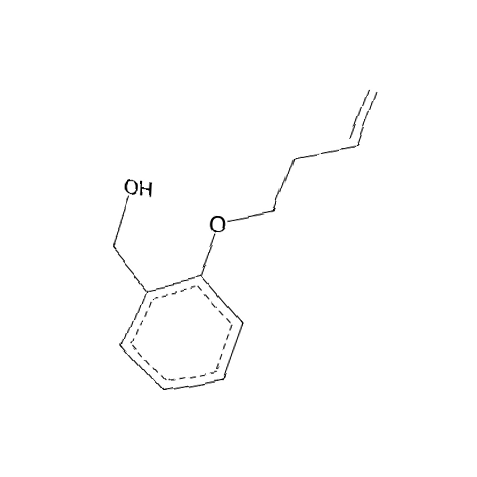 C=CCCOc1ccccc1CO